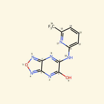 Oc1nc2nonc2nc1Nc1cccc(C(F)(F)F)n1